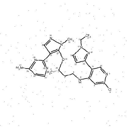 C[C@@H](CCNc1cc(Cl)ncc1-c1ccn(CC(F)(F)F)n1)Oc1c(-c2nccc(N)n2)cnn1C